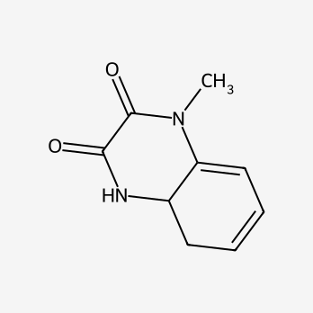 CN1C(=O)C(=O)NC2CC=CC=C21